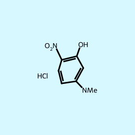 CNc1ccc([N+](=O)[O-])c(O)c1.Cl